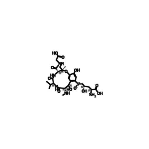 CC[C@@]1(C)Oc2cc(c([S+]([O-])C[C@@H](O)C[C@H](N)C(=O)O)cc2O)[C@@H](O)[C@H](NC)C(=O)N[C@@H](C(C)C)C(=O)N[C@@H]1C(=O)NCC(=O)O